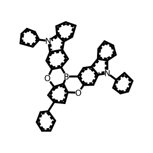 c1ccc(-c2cc3c4c(c2)Oc2cc5c(cc2B4c2cc4c6ccccc6n(-c6ccccc6)c4cc2O3)c2ccccc2n5-c2ccccc2)cc1